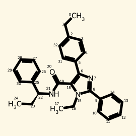 CCc1ccc(-c2nc(-c3ccccc3)n(CC)c2C(=O)N[C@@H](CC)c2ccccc2)cc1